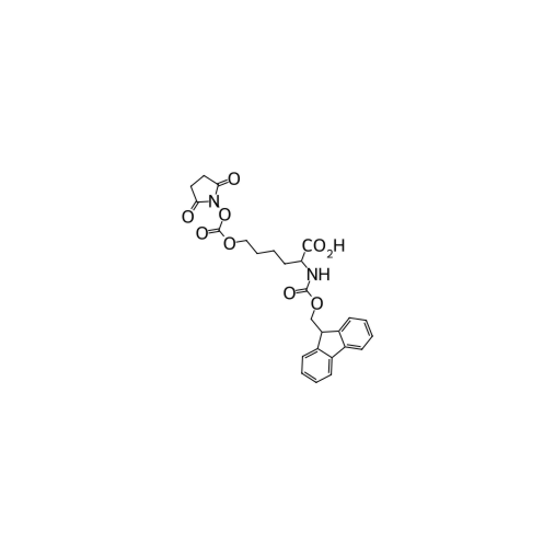 O=C(NC(CCCCOC(=O)ON1C(=O)CCC1=O)C(=O)O)OCC1c2ccccc2-c2ccccc21